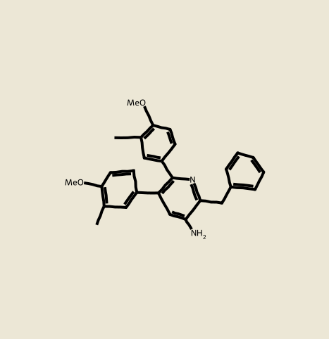 COc1ccc(-c2cc(N)c(Cc3ccccc3)nc2-c2ccc(OC)c(C)c2)cc1C